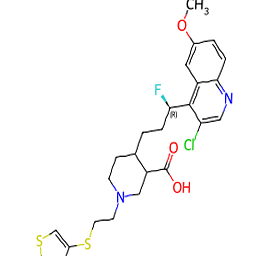 COc1ccc2ncc(Cl)c([C@H](F)CCC3CCN(CCSc4ccsc4)CC3C(=O)O)c2c1